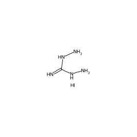 I.N=C(NN)NN